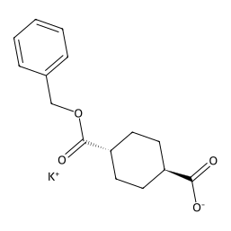 O=C([O-])[C@H]1CC[C@H](C(=O)OCc2ccccc2)CC1.[K+]